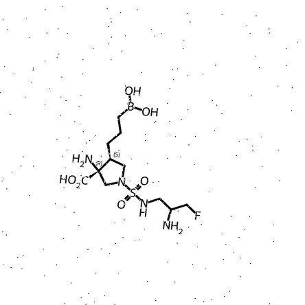 NC(CF)CNS(=O)(=O)N1C[C@H](CCCB(O)O)[C@](N)(C(=O)O)C1